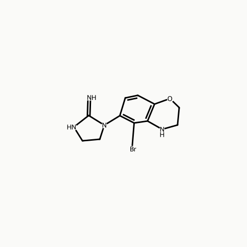 N=C1NCCN1c1ccc2c(c1Br)NCCO2